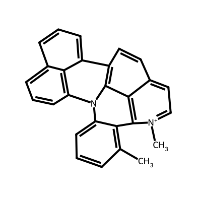 Cc1cccc2c1-c1c3c4c(ccc3cc[n+]1C)-c1cccc3cccc(c13)N24